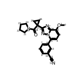 COc1ccc(-c2cccc(C#N)c2)n2nc(C3(C(=O)N4CCCC4)CC3)nc12